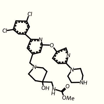 COC(=O)NCC1(O)CCN(Cc2cc(Oc3ccc(N4CCNCC4)nc3)nc(-c3cc(Cl)cc(Cl)c3)c2)CC1